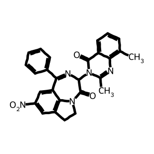 Cc1cccc2c(=O)n(C3N=C(c4ccccc4)c4cc([N+](=O)[O-])cc5c4N(CC5)C3=O)c(C)nc12